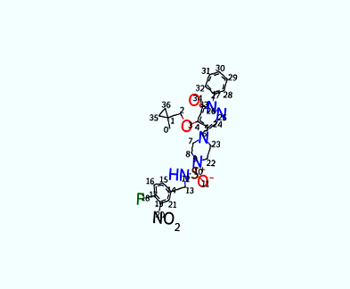 CC1(COc2c(N3CCN([S+]([O-])NCc4ccc(F)c([N+](=O)[O-])c4)CC3)cnn(-c3ccccc3)c2=O)CC1